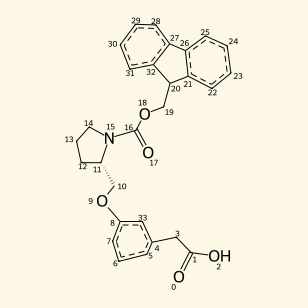 O=C(O)Cc1cccc(OC[C@@H]2CCCN2C(=O)OCC2c3ccccc3-c3ccccc32)c1